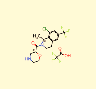 C[C@H]1c2c(Cl)cc(C(F)(F)F)cc2CCN1C(=O)[C@H]1CNCCO1.O=C(O)C(F)(F)F